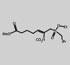 CCOP(=O)(C/C(=C/CCCC(=O)OC)C(=O)O)CC(C)C